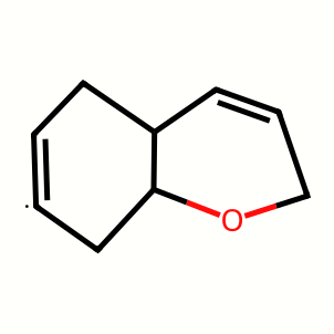 [C]1=CCC2C=CCOC2C1